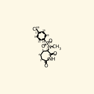 CN(C1CCCC(=O)NC1=O)S(=O)(=O)c1ccc(Cl)cc1